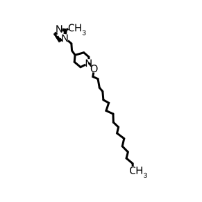 CCCCCCCCCCCCCCCCCON1CCC(CCn2ccnc2C)CC1